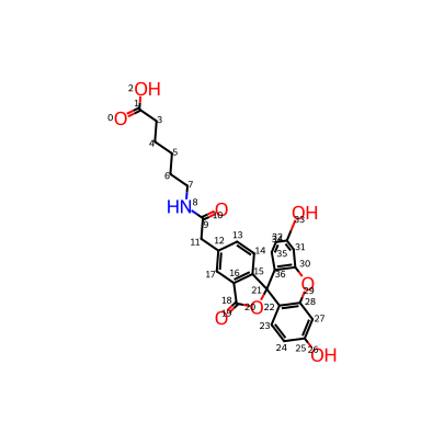 O=C(O)CCCCCNC(=O)Cc1ccc2c(c1)C(=O)OC21c2ccc(O)cc2Oc2cc(O)ccc21